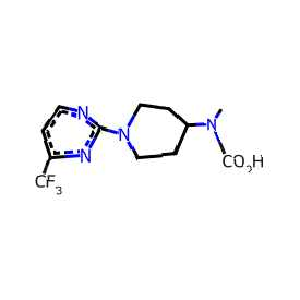 CN(C(=O)O)C1CCN(c2nccc(C(F)(F)F)n2)CC1